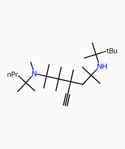 C#CC(C)(CC(C)(C)NC(C)(C)C(C)(C)C)C(C)(C)C(C)(C)N(C)C(C)(C)CCC